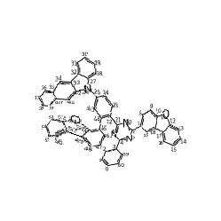 c1ccc(-c2nc(-c3ccc4oc5ccccc5c4c3)nc(-c3ccc(-n4c5ccccc5c5cc6ccccc6cc54)cc3-c3cccc4c3oc3ccccc34)n2)cc1